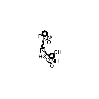 Cn1c(=O)n(CCCC(C)(C)NC[C@H](O)c2cc(O)cc3c2OCC(=O)N3)c2c(F)cccc21